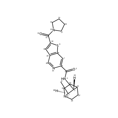 C[C@H]1[C@H](NC(=O)c2cc3sc(C(=O)N4CCCC4)cc3cn2)C2CCN1CC2